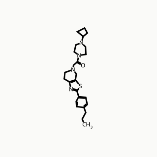 CCCc1ccc(-c2nc3c(s2)CN(CC(=O)N2CCN(C4CCC4)CC2)CC3)cc1